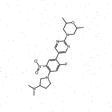 CC1CN(c2ncc(-c3cc([N+](=O)[O-])c(N4CCC(N(C)C)C4)cc3F)cn2)CC(C)O1